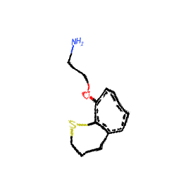 NCCOc1cccc2c1SCCC2